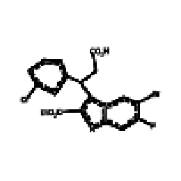 CCOC(=O)c1nc2cc(F)c(Br)cn2c1C(CC(=O)O)c1cccc(Cl)c1